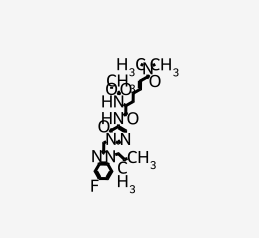 COC(=O)NC(CCC=CC(=O)N(C)C)C(=O)Nc1cncn(Cc2nc3cc(F)ccc3n2CC(C)C)c1=O